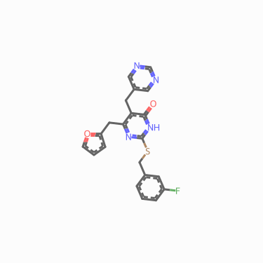 O=c1[nH]c(SCc2cccc(F)c2)nc(Cc2ccco2)c1Cc1cncnc1